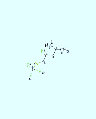 CC(C)CC(F)[CH]SC(F)(F)F